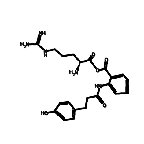 N=C(N)NCCC[C@H](N)C(=O)OC(=O)c1ccccc1NC(=O)CCc1ccc(O)cc1